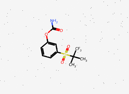 CC(C)(C(F)(F)F)S(=O)(=O)c1cccc(OC(N)=O)c1